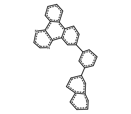 c1cc(-c2ccc3ccccc3c2)cc(-c2ccc3c4ccccc4c4nccnc4c3c2)c1